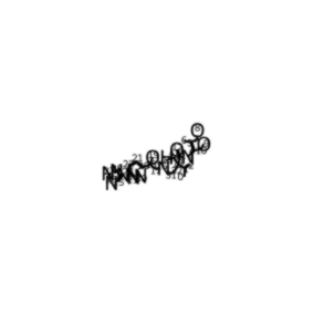 CC1=CN(C2=C(C)C(=O)OC2)C(=O)C12CCN(CC(O)c1ccc(-n3cnnn3)nn1)CC2